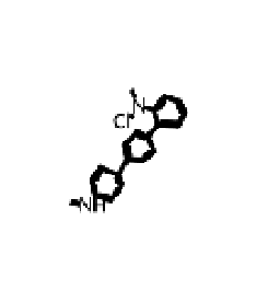 CNc1ccc(-c2ccc(-c3ccccc3N(C)Cl)cc2)cc1